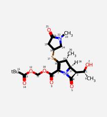 C[C@@H](O)[C@H]1C(=O)N2C(C(=O)OCOC(=O)C(C)(C)C)=C(S[C@H]3CC(=O)N(C)C3)[C@H](C)[C@@H]12